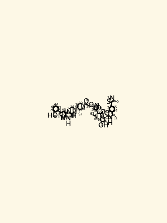 Cc1ncsc1-c1ccc([C@H](C)NC(=O)[C@@H]2C[C@@H](O)CN2C(=O)[C@@H](c2cc(OCC(=O)N3CC[C@@H](N4CCN5c6cc(-c7ccccc7O)nnc6NC[C@H]5C4)[C@@H](C)C3)no2)C(C)C)cc1